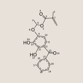 C=C(C)C(=O)OC(C)Oc1ccc(C(=O)c2ccccc2)c(O)c1O